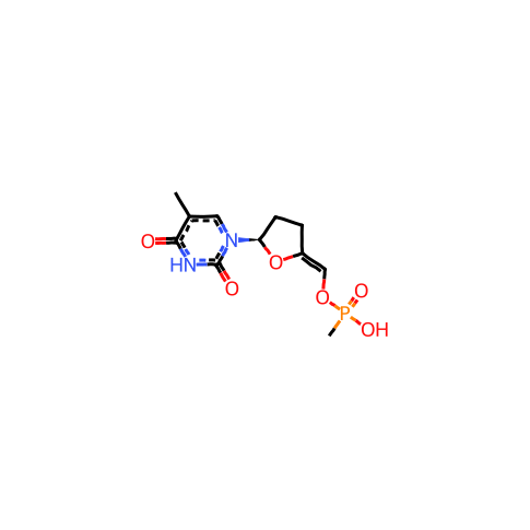 Cc1cn([C@H]2CC/C(=C/OP(C)(=O)O)O2)c(=O)[nH]c1=O